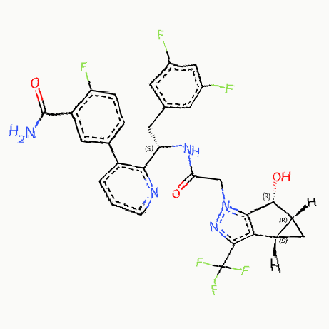 NC(=O)c1cc(-c2cccnc2[C@H](Cc2cc(F)cc(F)c2)NC(=O)Cn2nc(C(F)(F)F)c3c2[C@H](O)[C@@H]2C[C@H]32)ccc1F